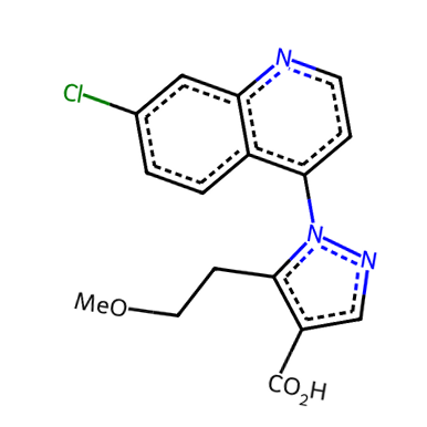 COCCc1c(C(=O)O)cnn1-c1ccnc2cc(Cl)ccc12